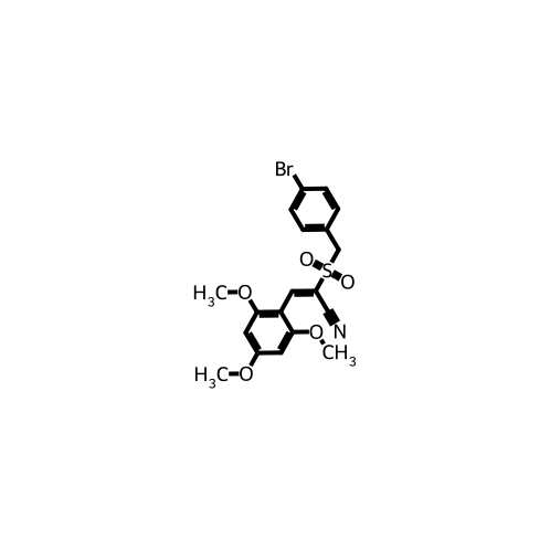 COc1cc(OC)c(/C=C(\C#N)S(=O)(=O)Cc2ccc(Br)cc2)c(OC)c1